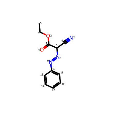 CCOC(=O)C(C#N)/N=N/c1ccccc1